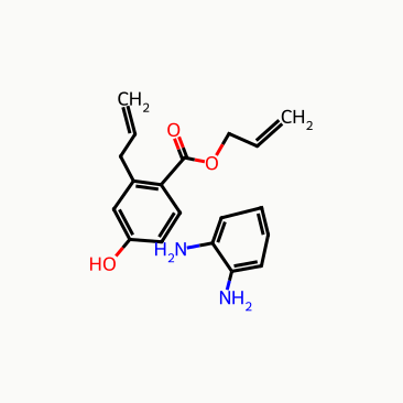 C=CCOC(=O)c1ccc(O)cc1CC=C.Nc1ccccc1N